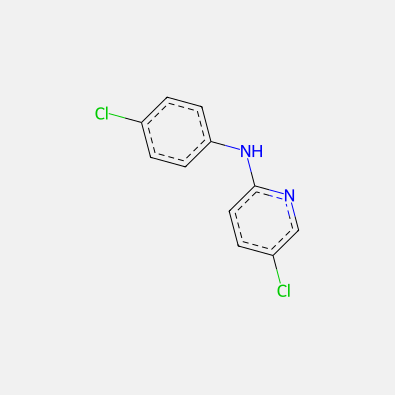 Clc1ccc(Nc2ccc(Cl)cn2)cc1